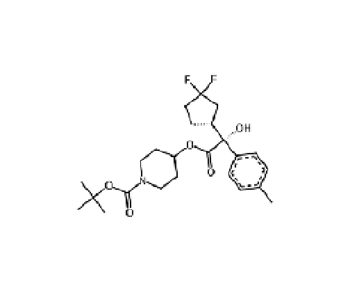 Cc1ccc([C@@](O)(C(=O)OC2CCN(C(=O)OC(C)(C)C)CC2)[C@@H]2CCC(F)(F)C2)cc1